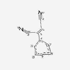 N#CC=C(C#N)c1ccccc1